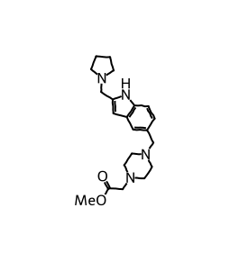 COC(=O)CN1CCN(Cc2ccc3[nH]c(CN4CCCC4)cc3c2)CC1